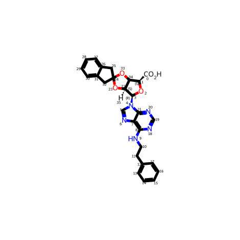 O=C(O)[C@H]1O[C@@H](n2cnc3c(NCCc4ccccc4)ncnc32)[C@H]2OC3(Cc4ccccc4C3)OC12